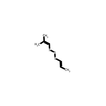 CC=CSSSC=C(C)C